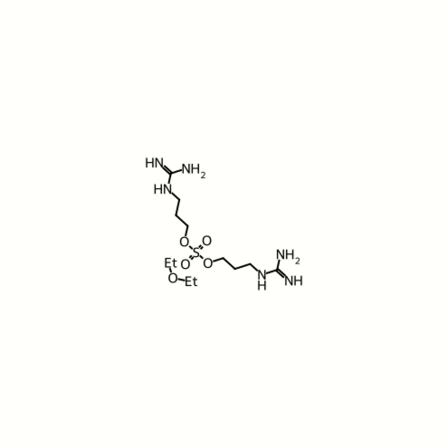 CCOCC.N=C(N)NCCCOS(=O)(=O)OCCCNC(=N)N